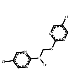 [O-][S+](CSc1ncc(Cl)cn1)c1ncc(Cl)cn1